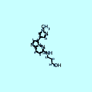 Cn1cc(-c2cnc3ccc(NCCCO)nn23)cn1